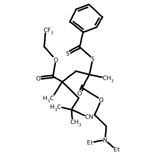 CCN(CC)CCOC(=O)C(C)(CC(C)(CC(C)(C)C#N)C(=O)OCC(F)(F)F)SC(=S)c1ccccc1